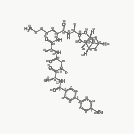 CCCCc1ccc(-c2ccc(C(=O)N[C@@H](CCC)C(=O)N(C)CC(=O)N[C@@H](C)C(=O)N[C@@H](CCCCN)C(=O)N[C@@H](C)B3O[C@@H]4C[C@@H]5C[C@@H](C5(C)C)[C@]4(C)O3)cc2)cc1